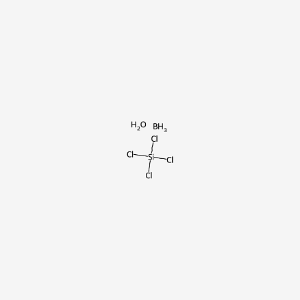 B.Cl[Si](Cl)(Cl)Cl.O